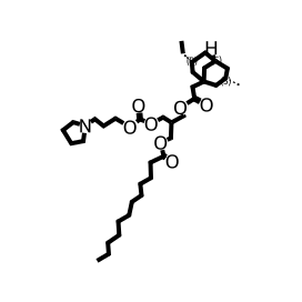 CCCCCCCCCCCC(=O)OCC(COC(=O)CC12C[C@@H](C)C[C@@H](C[C@@H](CC)C1)C2)COC(=O)OCCCN1CCCC1